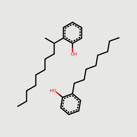 CCCCCCCCC(C)c1ccccc1O.CCCCCCCCc1ccccc1O